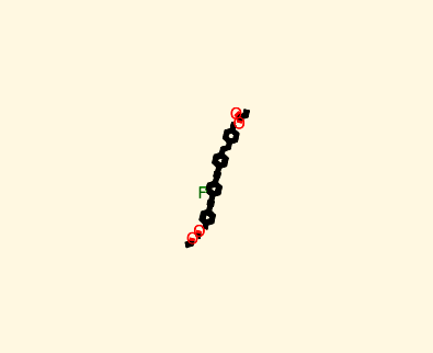 C=COCOCc1ccc(C#Cc2ccc(C#Cc3ccc(CCC4CCC(COC(=O)C=C)CC4)cc3)cc2F)cc1